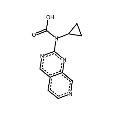 O=C(O)N(c1ncc2ccncc2n1)C1CC1